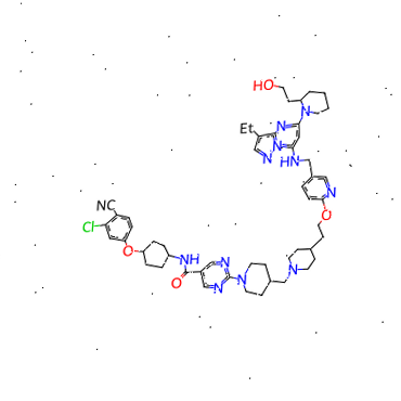 CCc1cnn2c(NCc3ccc(OCCC4CCN(CC5CCN(c6ncc(C(=O)NC7CCC(Oc8ccc(C#N)c(Cl)c8)CC7)cn6)CC5)CC4)nc3)cc(N3CCCCC3CCO)nc12